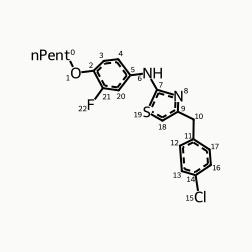 CCCCCOc1ccc(Nc2nc(Cc3ccc(Cl)cc3)cs2)cc1F